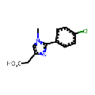 Cn1cc(CC(=O)O)nc1-c1ccc(Cl)cc1